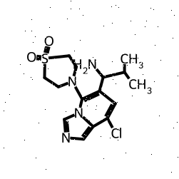 CC(C)C(N)c1cc(Cl)c2cncn2c1N1CCS(=O)(=O)CC1